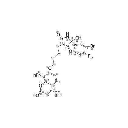 CCCc1c(OCCCCN2C(=O)NC(C)(c3ccc(F)c(Br)c3)C2=O)ccc2c(C(F)(F)F)cc(=O)oc12